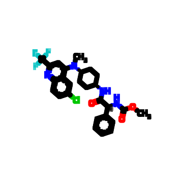 COC(=O)N[C@@H](C(=O)N[C@H]1CC[C@@H](N(C)c2cc(C(F)(F)F)nc3ccc(Cl)cc23)CC1)c1ccccc1